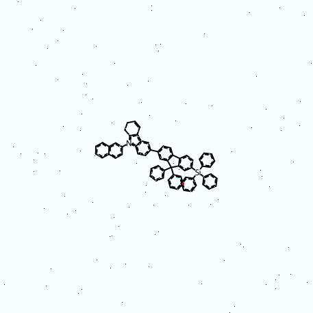 C1=Cc2c(n(-c3ccc4ccccc4c3)c3ccc(-c4ccc5c(c4)C(c4ccccc4)(c4ccccc4)c4cc([Si](c6ccccc6)(c6ccccc6)c6ccccc6)ccc4-5)cc23)CC1